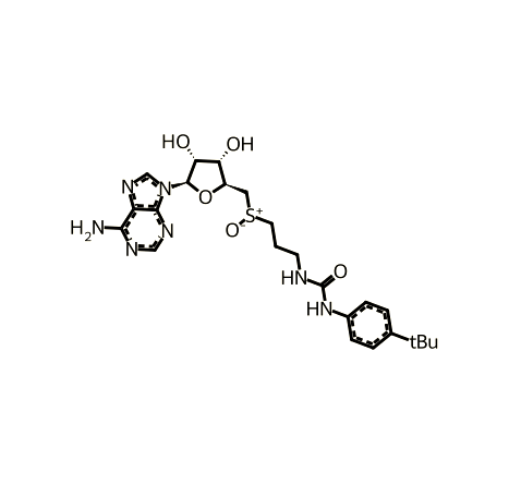 CC(C)(C)c1ccc(NC(=O)NCCC[S+]([O-])C[C@H]2O[C@@H](n3cnc4c(N)ncnc43)[C@H](O)[C@@H]2O)cc1